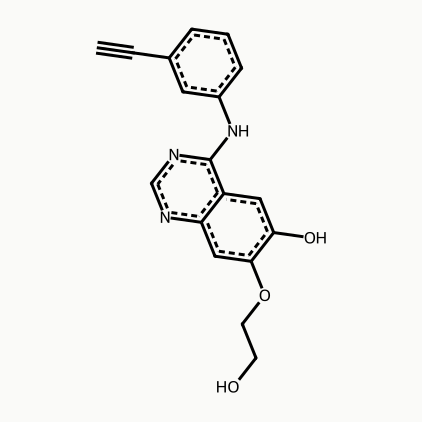 C#Cc1cccc(Nc2ncnc3cc(OCCO)c(O)cc23)c1